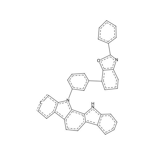 c1ccc(-c2nc3cccc(-c4cccc(-n5c6ccccc6c6ccc7c8ccccc8[nH]c7c65)c4)c3o2)cc1